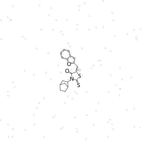 O=C1/C(=C\c2cc3ccccc3o2)SC(=S)N1C1CC2CCC1C2